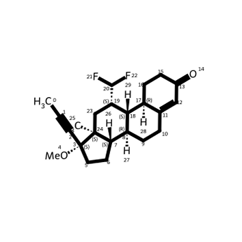 CC#C[C@]1(OC)CC[C@H]2[C@@H]3CCC4=CC(=O)CC[C@@H]4[C@H]3[C@@H](C(F)F)C[C@@]21C